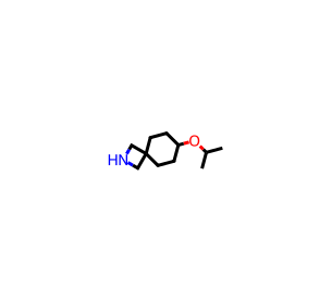 CC(C)OC1CCC2(CC1)CNC2